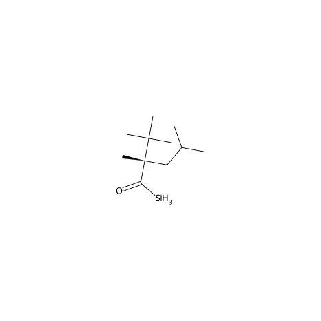 CC(C)C[C@](C)(C(=O)[SiH3])C(C)(C)C